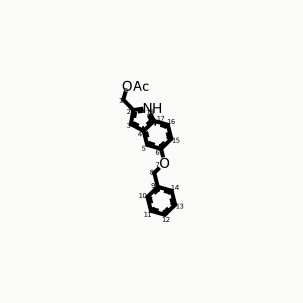 CC(=O)OCc1cc2cc(OCc3ccccc3)ccc2[nH]1